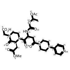 COC(=O)C[C@H]1C(=O)N(CC(=O)O)CCN1C(=O)C(CC(=O)N1CCN(c2ccncc2)CC1)NC(=O)OC(C)OC(C)=O